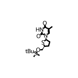 Cc1cn([C@H]2CC[C@@H](CO[Si](C)(C)C(C)(C)C)S2)c(=O)[nH]c1=O